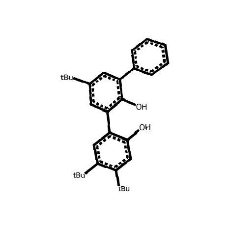 CC(C)(C)c1cc(-c2ccccc2)c(O)c(-c2cc(C(C)(C)C)c(C(C)(C)C)cc2O)c1